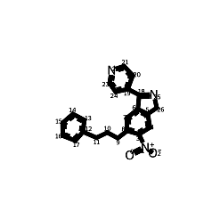 O=[N+]([O-])c1cc2c(cc1CCCc1ccccc1)C(c1ccncc1)=NC2